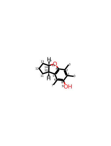 Cc1c(C)c2c(c(C)c1O)[C@@H]1CCC[C@@H]1O2